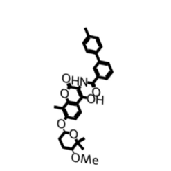 CO[C@@H]1CC[C@H](Oc2ccc3c(O)c(NC(=O)c4cccc(-c5ccc(C)cc5)c4)c(=O)oc3c2C)OC1(C)C